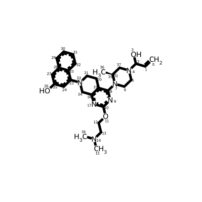 C=CC(O)N1CCN(c2nc(OCCN(C)C)nc3c2CCN(c2cc(O)cc4ccccc24)C3)[C@@H](C)C1